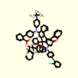 CC(C)(C)c1ccc(N(c2ccc(-c3ccccc3F)cc2)c2cc3oc4ccccc4c3c3c2C(c2ccccc2)(c2ccccc2)c2cc(N(c4ccc(-c5ccccc5C(=O)OCc5ccccc5)cc4)c4ccc(C(C)(C)C)cc4)c4ccccc4c2-3)cc1